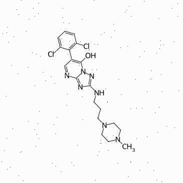 CN1CCN(CCCNc2nc3ncc(-c4c(Cl)cccc4Cl)c(O)n3n2)CC1